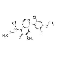 COC[C@H](C1CC1)n1c(=O)c(C)nc2c(-c3cc(F)c(OC)cc3Cl)nccc21